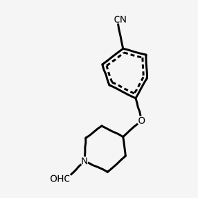 N#Cc1ccc(OC2CCN(C=O)CC2)cc1